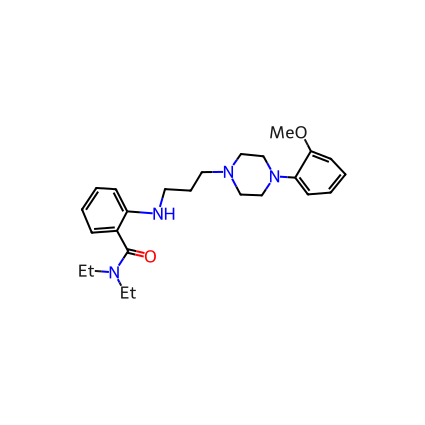 CCN(CC)C(=O)c1ccccc1NCCCN1CCN(c2ccccc2OC)CC1